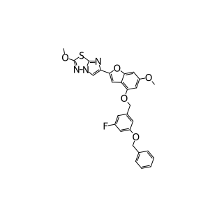 COc1cc(OCc2cc(F)cc(OCc3ccccc3)c2)c2cc(-c3cn4nc(OC)sc4n3)oc2c1